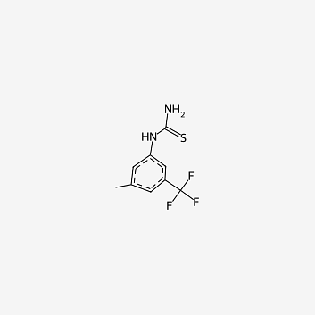 Cc1cc(NC(N)=S)cc(C(F)(F)F)c1